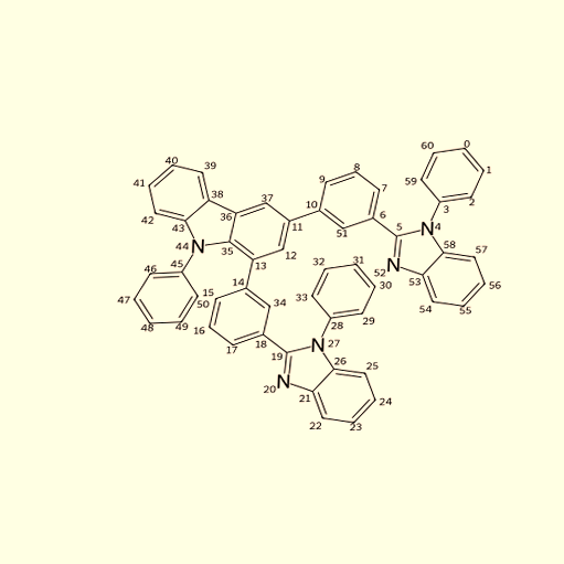 c1ccc(-n2c(-c3cccc(-c4cc(-c5cccc(-c6nc7ccccc7n6-c6ccccc6)c5)c5c(c4)c4ccccc4n5-c4ccccc4)c3)nc3ccccc32)cc1